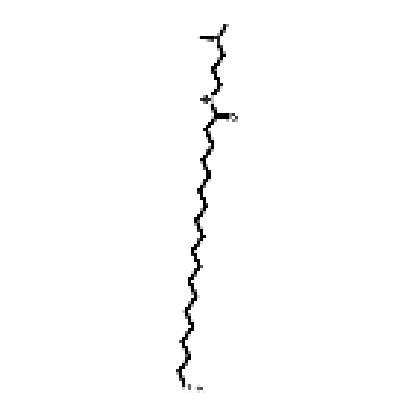 CCCCCCCCCCCCCCCCCCCCCCCCCCCC(=O)NCCCN(C)C